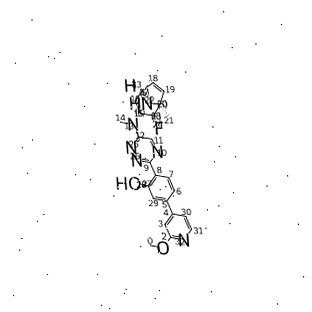 COc1cc(-c2ccc(-c3ncc(N(C)[C@@H]4C[C@H]5C=C[C@](C)(N5)[C@@H]4F)nn3)c(O)c2)ccn1